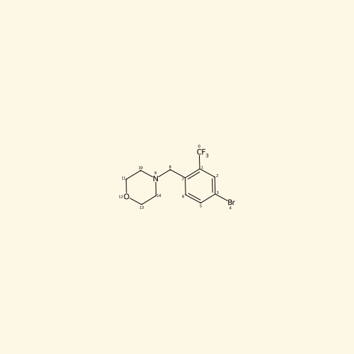 FC(F)(F)c1cc(Br)ccc1CN1CCOCC1